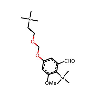 COc1cc(OCOCC[Si](C)(C)C)cc(C=O)[c]1[Sn]([CH3])([CH3])[CH3]